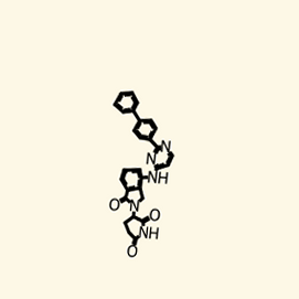 O=C1CCC(N2Cc3c(Nc4ccnc(-c5ccc(-c6ccccc6)cc5)n4)cccc3C2=O)C(=O)N1